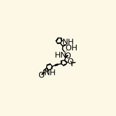 CC(C)Oc1ccc(C#Cc2ccc3c(c2)NC(=O)C3)cc1C(=O)N[C@@H](CO)Cc1c[nH]c2ccccc12